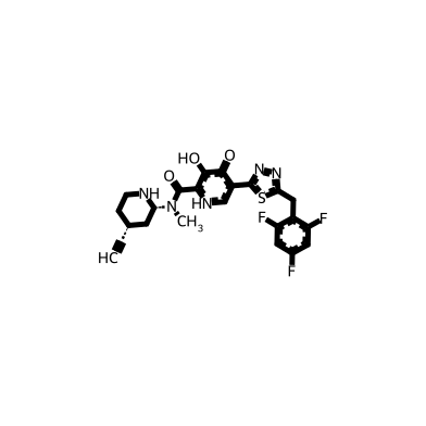 C#C[C@@H]1CCN[C@H](N(C)C(=O)c2[nH]cc(-c3nnc(Cc4c(F)cc(F)cc4F)s3)c(=O)c2O)C1